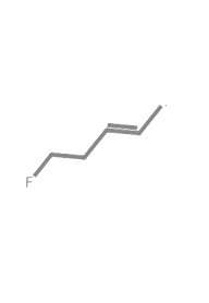 [CH2]C=CCCF